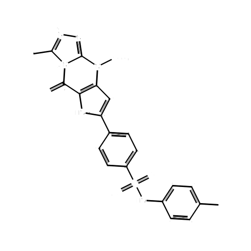 CCCCCn1c2cc(-c3ccc(S(=O)(=O)Nc4ccc(C)cc4)cc3)[nH]c2c(=O)n2c(C)nnc12